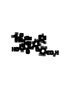 Cc1ncsc1-c1ccc(CNC(=O)[C@@H]2C[C@@H](O)CN2C(=O)[C@@H](NC(=O)C2(F)CC2)C(C)(C)C)c(OC2CCC(C(=O)O)CC2)c1